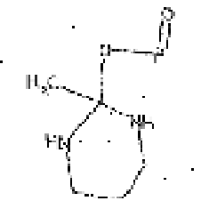 CC1(OP=O)NCCCN1